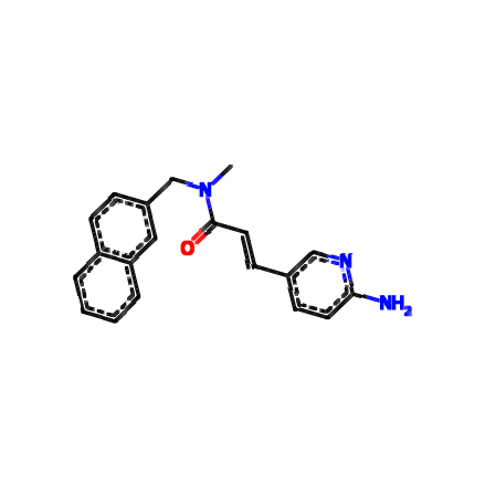 CN(Cc1ccc2ccccc2c1)C(=O)C=Cc1ccc(N)nc1